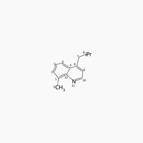 Cc1cccc2c(CC(C)C)ccnc12